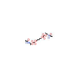 C=CC(=O)NCC(C)OC(=O)C(=O)OCCCCCOC(=O)C(=O)OC(C)CNC(=O)C=C